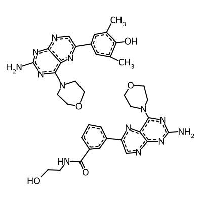 Cc1cc(-c2cnc3nc(N)nc(N4CCOCC4)c3n2)cc(C)c1O.Nc1nc(N2CCOCC2)c2nc(-c3cccc(C(=O)NCCO)c3)cnc2n1